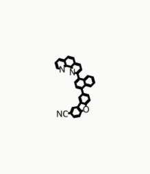 N#Cc1ccc2oc3ccc(-c4ccc(-c5ccc6ccc7cccnc7c6n5)c5ccccc45)cc3c2c1